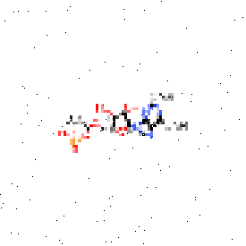 COc1nc(OC)c2ncn([C@@H]3O[C@H](COC(O[PH](=O)O)C(=O)O)[C@@H](O)[C@H]3O)c2n1